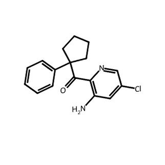 Nc1cc(Cl)cnc1C(=O)C1(c2ccccc2)CCCC1